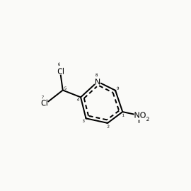 O=[N+]([O-])c1ccc(C(Cl)Cl)nc1